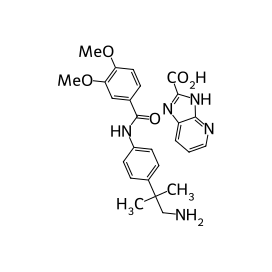 COc1ccc(C(=O)Nc2ccc(C(C)(C)CN)cc2)cc1OC.O=C(O)c1nc2cccnc2[nH]1